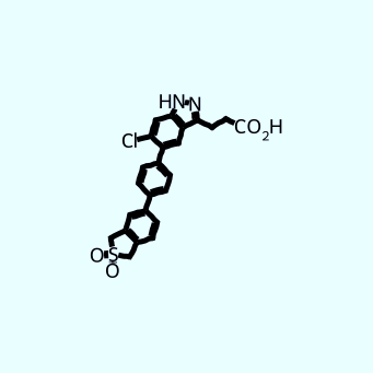 O=C(O)CCc1n[nH]c2cc(Cl)c(-c3ccc(-c4ccc5c(c4)CS(=O)(=O)C5)cc3)cc12